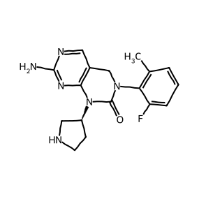 Cc1cccc(F)c1N1Cc2cnc(N)nc2N([C@H]2CCNC2)C1=O